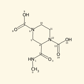 CNC(=O)C1CN(C(=O)O)CCN1C(=O)O